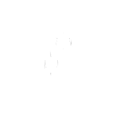 CC(c1ccccc1)c1ccc(Cl)[c]c1Cl